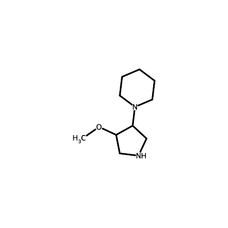 COC1CNCC1N1CCCCC1